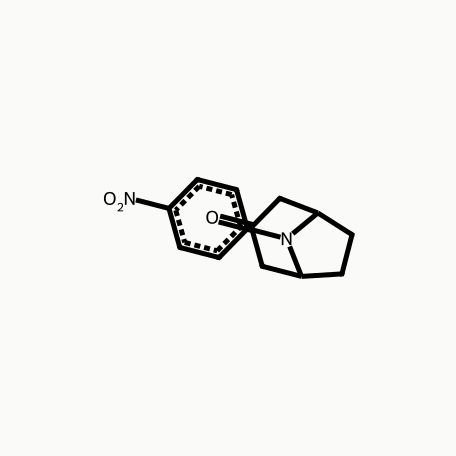 O=C1CC2CCC(C1)N2c1ccc([N+](=O)[O-])cc1